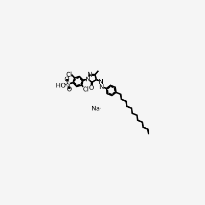 CCCCCCCCCCCCc1ccc(N=NC2C(=O)N(c3cc(Cl)c(S(=O)(=O)O)cc3Cl)N=C2C)cc1.[Na]